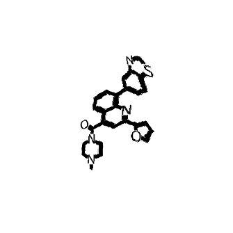 CN1CCN(C(=O)c2cc(-c3ccco3)nc3c(-c4ccc5scnc5c4)cccc23)CC1